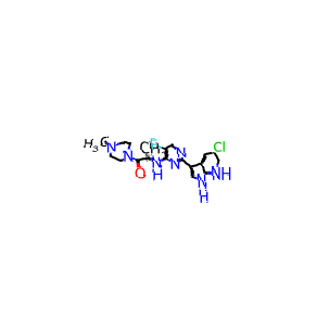 C[C@H](Nc1nc(C2=CNC3NCC(Cl)C=C23)ncc1F)C(=O)N1CCN(C)CC1